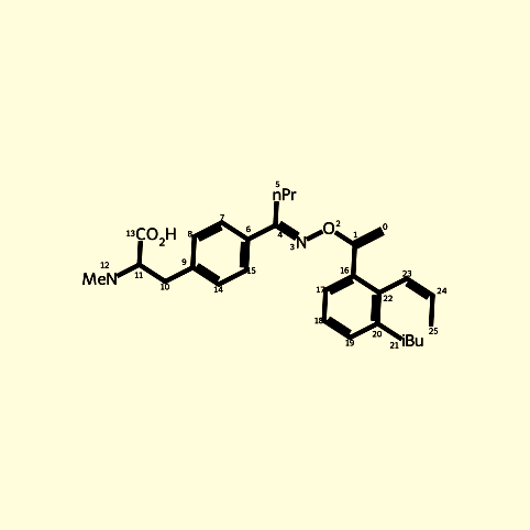 C=C(O/N=C(\CCC)c1ccc(CC(NC)C(=O)O)cc1)c1cccc(C(C)CC)c1/C=C\C